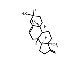 C[C@@]1(O)CC[C@@]2(C)C(=CC[C@@H]3[C@@H]2CC[C@]2(C)C(=O)CC[C@@H]32)C1